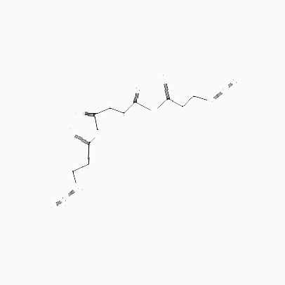 [N-]=[N+]=NCCC(=O)OC(=N)CCC(=O)OC(=O)CCN=[N+]=[N-]